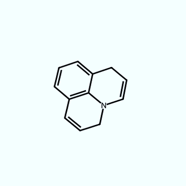 C1=CN2CC=Cc3cccc(c32)C1